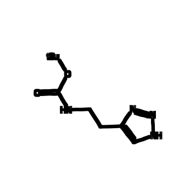 CC(C)(C)OC(=O)NCCc1c[nH]nn1